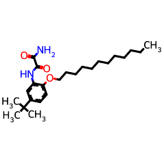 CCCCCCCCCCCCOc1ccc(C(C)(C)C)cc1NC(=O)C(N)=O